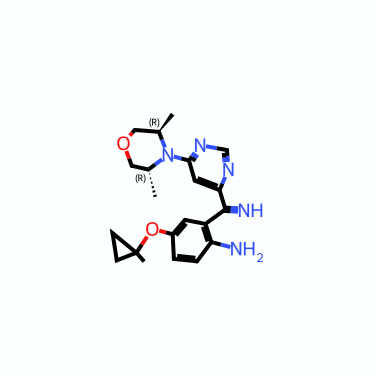 C[C@@H]1COC[C@@H](C)N1c1cc(C(=N)c2cc(OC3(C)CC3)ccc2N)ncn1